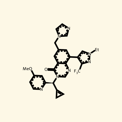 CCn1cc(-c2cc(Cn3ccnc3)cc3c(=O)n([C@@H](C4=CC4)c4cc(OC)ccn4)cnc23)c(C(F)(F)F)n1